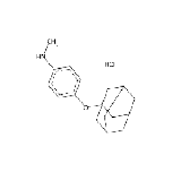 CNc1ccc(OC23CC4CC(CC(C4)C2)C3)cc1.Cl